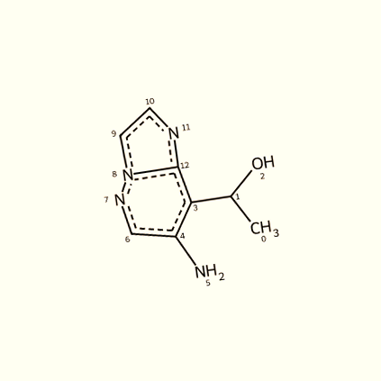 CC(O)c1c(N)cnn2ccnc12